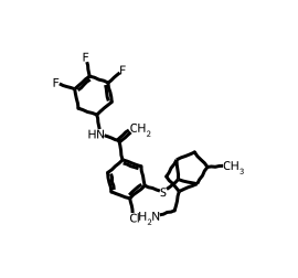 C=C(NC1C=C(F)C(F)=C(F)C1)c1ccc(Cl)c(SC2C3CC(C)C2C(CN)C3)c1